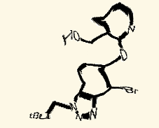 CC(C)(C)Cn1nnc2c(Br)c(Oc3ncccc3CO)ccc21